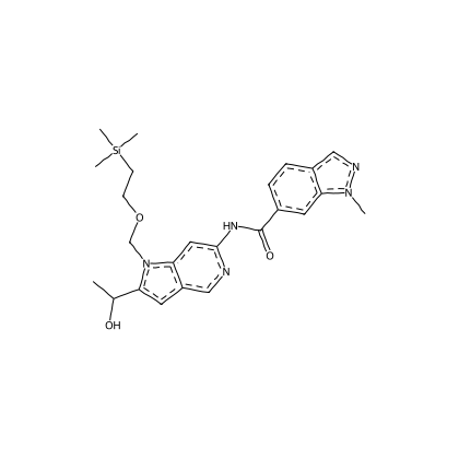 CC(O)c1cc2cnc(NC(=O)c3ccc4cnn(C)c4c3)cc2n1COCC[Si](C)(C)C